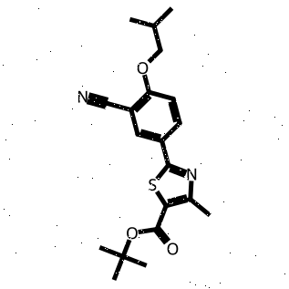 Cc1nc(-c2ccc(OCC(C)C)c(C#N)c2)sc1C(=O)OC(C)(C)C